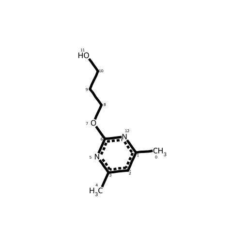 Cc1[c]c(C)nc(OCCCO)n1